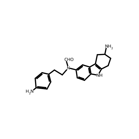 Nc1ccc(CCN(C=O)c2ccc3[nH]c4c(c3c2)CC(N)CC4)cc1